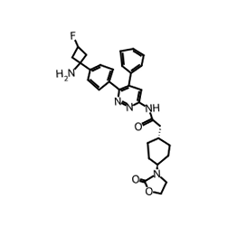 NC1(c2ccc(-c3nnc(NC(=O)C[C@H]4CC[C@H](N5CCOC5=O)CC4)cc3-c3ccccc3)cc2)CC(F)C1